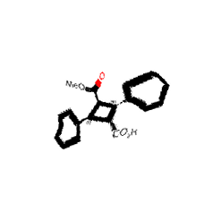 COC(=O)[C@H]1[C@H](c2ccccc2)[C@@H](C(=O)O)[C@H]1c1ccccc1